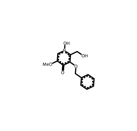 COc1cn(O)c(CO)c(OCc2ccccc2)c1=O